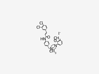 COc1ccccc1N1CC[N+](C)(Cc2ccc(NC(=O)C=Cc3ccc(Cl)c(Cl)c3)cc2)CC1.[I-]